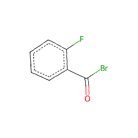 O=C(Br)c1ccccc1F